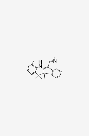 C/N=C/C(=C1\Nc2c(C)cccc2C(C)(C)C1(C)C)c1ccccc1